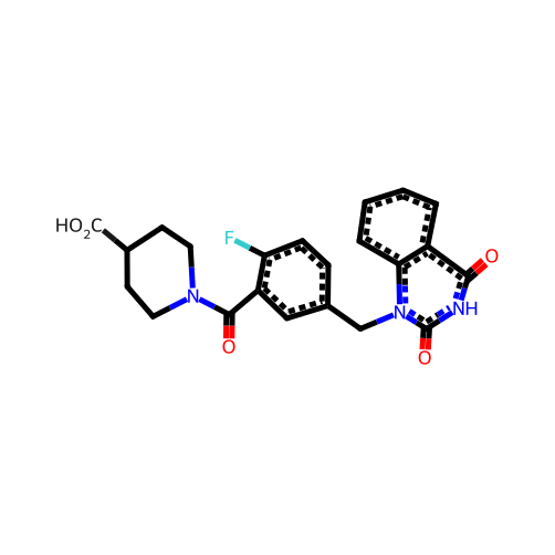 O=C(O)C1CCN(C(=O)c2cc(Cn3c(=O)[nH]c(=O)c4ccccc43)ccc2F)CC1